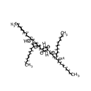 CCCCCCCCCC[C@@H](O)CN(CCCC[C@H]1NC(=O)[C@@H](CCCCN(C[C@H](O)CCCCCCCCCC)C[C@H](O)CCCCCCCCCC)NC1=O)C[C@H](O)CCCCCCCCCC